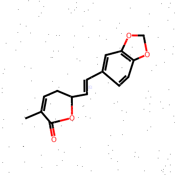 CC1=CCC(/C=C/c2ccc3c(c2)OCO3)OC1=O